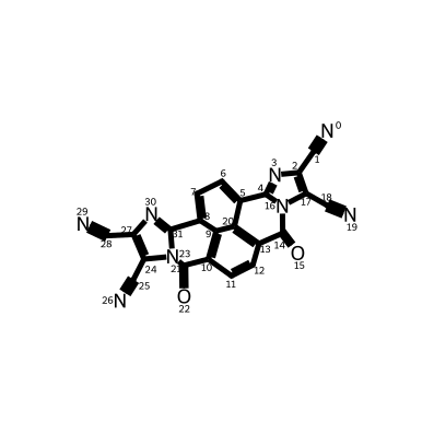 N#Cc1nc2c3ccc4c5c(ccc(c(=O)n2c1C#N)c35)c(=O)n1c(C#N)c(C#N)nc41